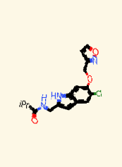 CC(C)C(=O)NCc1cc2cc(Cl)c(OCc3ccon3)cc2[nH]1